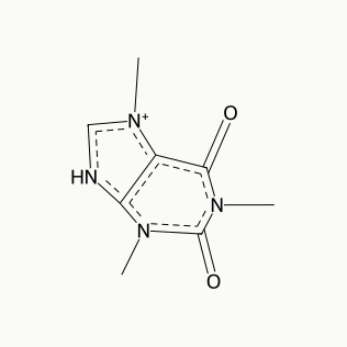 Cn1c(=O)c2c([nH]c[n+]2C)n(C)c1=O